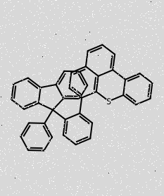 c1ccc(C2(c3ccccc3-c3ccc4cccc5c4c3Sc3ccccc3-5)c3ccccc3-c3ccccc32)cc1